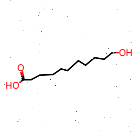 O=C(O)CCCCCCCCCCO